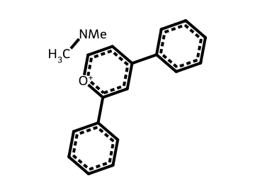 CNC.c1ccc(-c2cc[o+]c(-c3ccccc3)c2)cc1